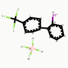 FC(F)(F)c1ccc(-c2ccccc2[IH+])cc1.F[B-](F)(F)F